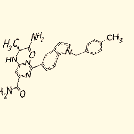 Cc1ccc(Cn2ccc3cc(-c4nc(N[C@@H](C)C(N)=O)cc(C(N)=O)n4)ccc32)cc1